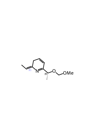 C/C=C1\CC=CC([C@@H](C)OCOC)=N1